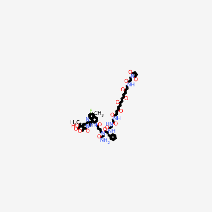 CC[C@@]1(O)C(=O)OCc2c1cc1n(c2=O)Cc2c-1nc1cc(F)c(C)c3c1c2[C@@H](NC(=O)CCCN(CC(N)=O)C(=O)[C@H](Cc1ccccc1)NC(=O)CNC(=O)CNC(=O)CCC(=O)CCC(=O)CCC(=O)CCC(=O)CCNC(=O)CCN1C(=O)C=CC1=O)CC3